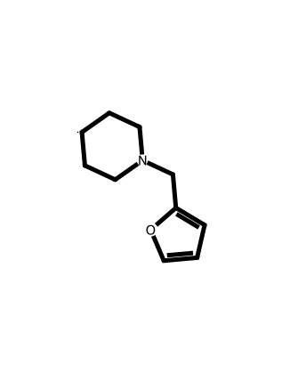 [CH]1CCN(Cc2ccco2)CC1